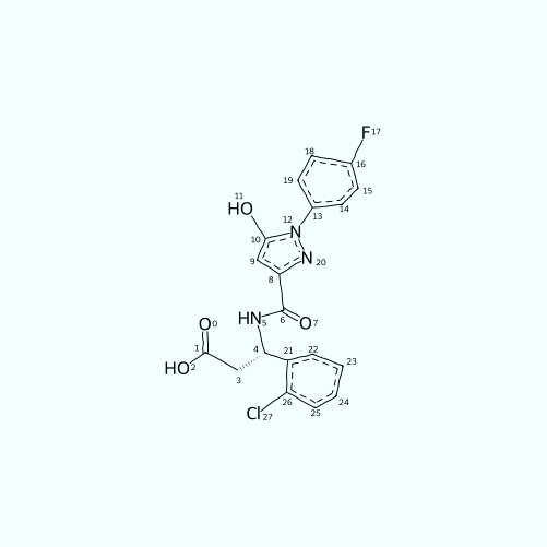 O=C(O)C[C@H](NC(=O)c1cc(O)n(-c2ccc(F)cc2)n1)c1ccccc1Cl